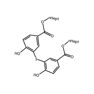 CCCCCCCOC(=O)c1ccc(O)c(Sc2cc(C(=O)OCCCCCCC)ccc2O)c1